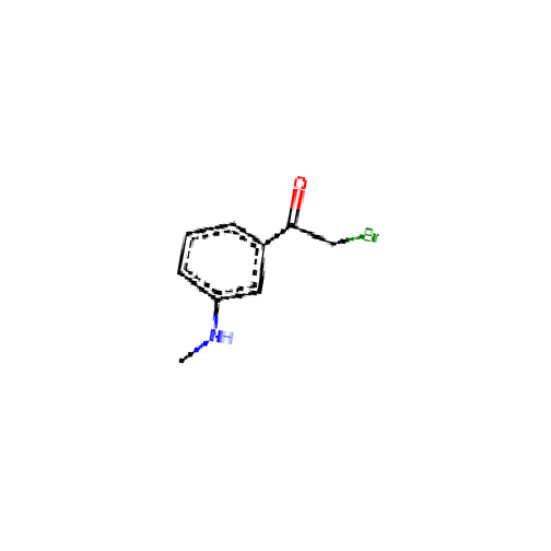 CNc1cccc(C(=O)CBr)c1